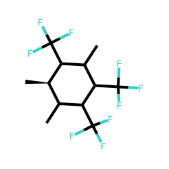 CC1C(C(F)(F)F)C(C(F)(F)F)C(C)[C@@H](C)C1C(F)(F)F